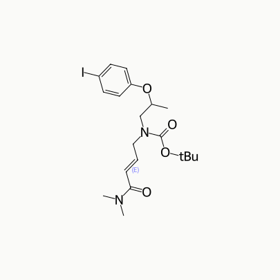 CC(CN(C/C=C/C(=O)N(C)C)C(=O)OC(C)(C)C)Oc1ccc(I)cc1